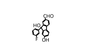 O=Cc1ccc2c(c1)C(O)(c1cccc(F)c1)c1cc(O)ccc1-2